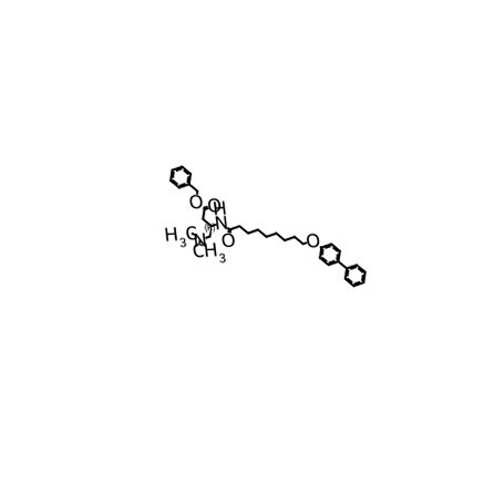 CN(C)C[C@@H](CC(=O)OCc1ccccc1)NC(=O)CCCCCCCCOc1ccc(-c2ccccc2)cc1